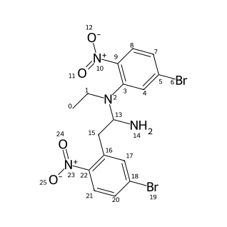 CCN(c1cc(Br)ccc1[N+](=O)[O-])C(N)Cc1cc(Br)ccc1[N+](=O)[O-]